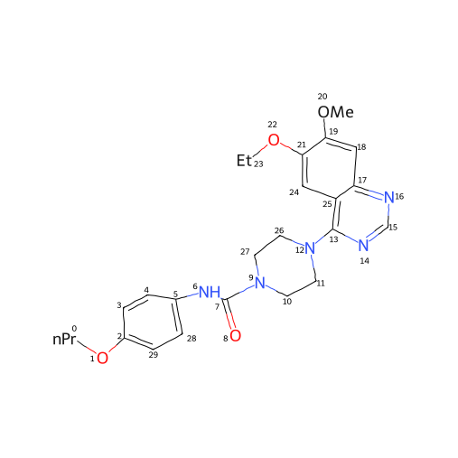 CCCOc1ccc(NC(=O)N2CCN(c3ncnc4cc(OC)c(OCC)cc34)CC2)cc1